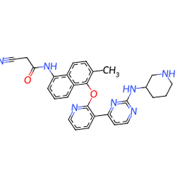 Cc1ccc2c(NC(=O)CC#N)cccc2c1Oc1ncccc1-c1ccnc(NC2CCCNC2)n1